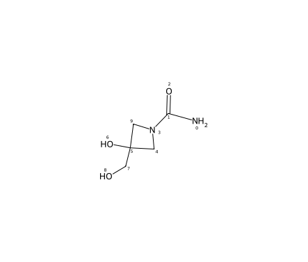 NC(=O)N1CC(O)(CO)C1